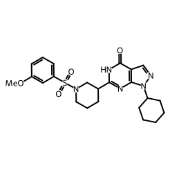 COc1cccc(S(=O)(=O)N2CCCC(c3nc4c(cnn4C4CCCCC4)c(=O)[nH]3)C2)c1